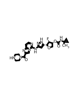 CC1(NC(=O)O[C@@H]2CO[C@H](c3cc(Nc4nccc5nc(C(=O)N6CCNCC6)cn45)n[nH]3)[C@@H]2F)CC1